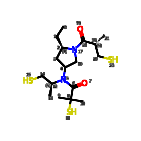 CC[C@@H]1CC(N(C(=O)C(C)(C)S)[C@@H](C)CS)CN1C(=O)[C@H](C)CS